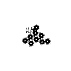 CC1(C)c2ccccc2-c2ccc(N(c3cccc(N(c4ccccc4)c4ccccc4)c3)c3cccc(N(c4ccccc4)c4cccc(-c5ccccc5)c4)c3)cc21